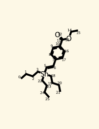 CCC[CH2][Sn]([CH]=Cc1ccc(C(=O)OCC)cc1)([CH2]CCC)[CH2]CCC